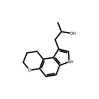 CC(O)Cc1c[nH]c2ccc3c(c12)CCCO3